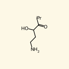 CC(C)C(=O)C(O)CCN